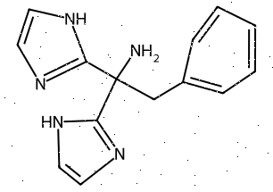 NC(Cc1ccccc1)(c1ncc[nH]1)c1ncc[nH]1